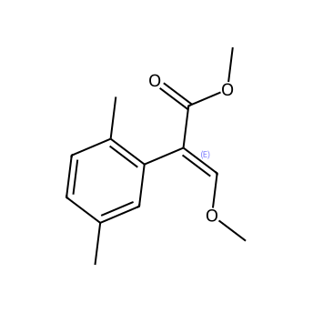 CO/C=C(/C(=O)OC)c1cc(C)ccc1C